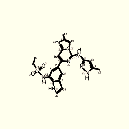 CCS(=O)(=O)Nc1cc(-c2cc3nc(C)cn3c(Nc3cc(C)[nH]n3)n2)cc2cc[nH]c12